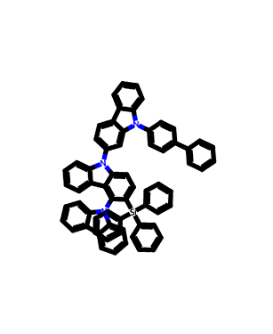 c1ccc(-c2ccc(-n3c4ccccc4c4ccc(-n5c6ccccc6c6c(-n7c8ccccc8c8ccccc87)c([Si](c7ccccc7)(c7ccccc7)c7ccccc7)ccc65)cc43)cc2)cc1